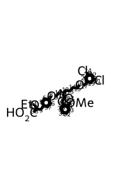 CCOC(Cc1ccc(OCCN(CCCCOCc2cc(Cl)cc(Cl)c2)C(=O)Oc2ccccc2OC)cc1)C(=O)O